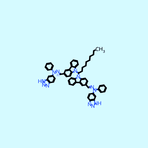 CCCCCCCCCC(n1c2ccccc2c2cc(/C=N/N(c3ccccc3)c3ccc4nn[nH]c4c3)ccc21)n1c2ccccc2c2cc(/C=N/N(c3ccccc3)c3ccc4nn[nH]c4c3)ccc21